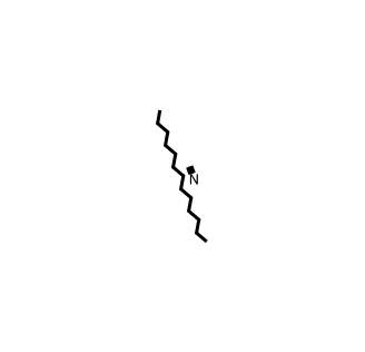 C#N.CCCCCCCCCCCCC